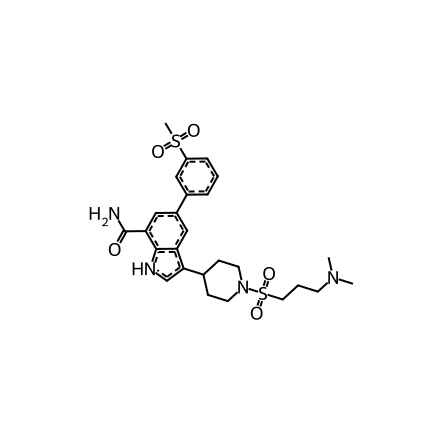 CN(C)CCCS(=O)(=O)N1CCC(c2c[nH]c3c(C(N)=O)cc(-c4cccc(S(C)(=O)=O)c4)cc23)CC1